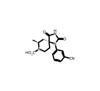 C[C@H]1C[C@]2(CCN1C(=O)O)C(=O)NC(=O)N2c1cccc(C#N)c1